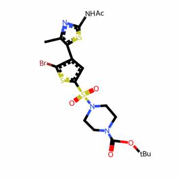 CC(=O)Nc1nc(C)c(-c2cc(S(=O)(=O)N3CCN(C(=O)OC(C)(C)C)CC3)sc2Br)s1